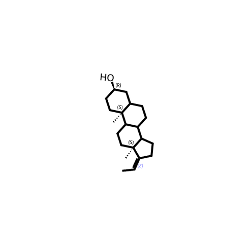 C/C=C1/CCC2C3CCC4C[C@H](O)CC[C@]4(C)C3CC[C@]12C